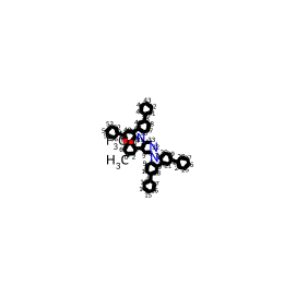 Cc1cc(-c2cc(-n3c4ccc(-c5ccccc5)cc4c4cc(-c5ccccc5)ccc43)ncc2-n2c3ccc(-c4ccccc4)cc3c3cc(-c4ccccc4)ccc32)cc(C(F)(F)F)c1